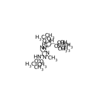 Cc1nc(NC(=O)OC(C)(C)C)c2cnn([C@@H]3C=C(CO[Si](C)(C)C(C)(C)C)[C@H]4OC(C)(C)O[C@H]43)c2n1